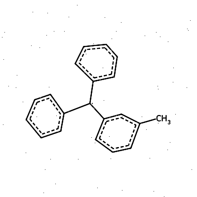 Cc1cccc([C](c2ccccc2)c2ccccc2)c1